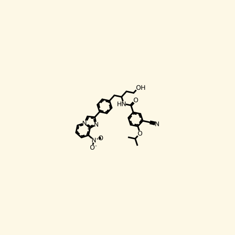 CC(C)Oc1ccc(C(=O)NC(CCO)Cc2ccc(-c3cn4cccc([N+](=O)[O-])c4n3)cc2)cc1C#N